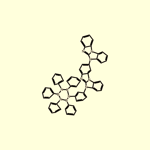 c1ccc(B2N(c3ccccc3)B(c3ccccc3)N(c3cccc(-n4c5ccccc5n5c6cc(-n7c8ccccc8n8c9ccccc9nc78)ccc6nc45)c3)B(c3ccccc3)N2c2ccccc2)cc1